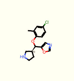 Cc1cc(Cl)ccc1OC(c1cnco1)[C@H]1CCNC1